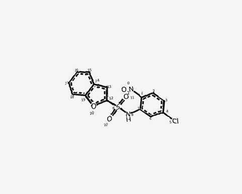 O=[N+]([O-])c1ccc(Cl)cc1NS(=O)(=O)c1cc2ccccc2o1